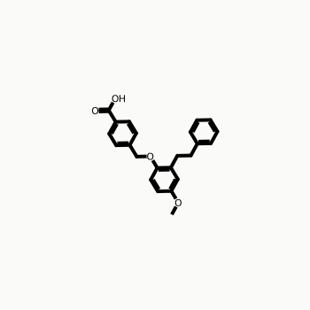 COc1ccc(OCc2ccc(C(=O)O)cc2)c(CCc2ccccc2)c1